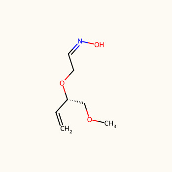 C=C[C@@H](COC)OC/C=N\O